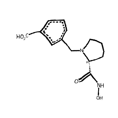 O=C(O)c1cccc(CN2CCC[C@@H]2C(=O)NO)c1